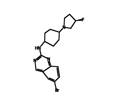 F[C@@H]1CCN(C2CCC(Nc3ncc4cc(Br)ccc4n3)CC2)C1